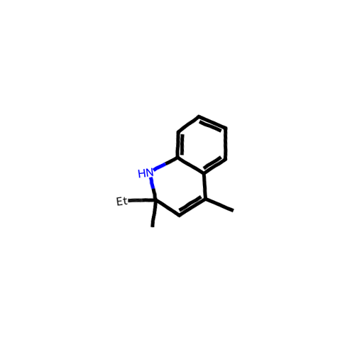 CCC1(C)C=C(C)c2ccccc2N1